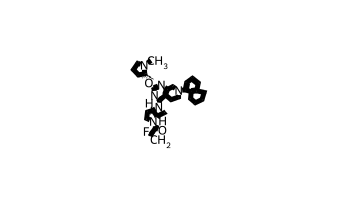 C=C(F)C(=O)N1CC[C@@H]2[C@H]1CN2c1nc(OC[C@@H]2CCCN2C)nc2c1CCN(c1cccc3c1CCCC3)C2